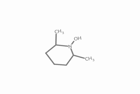 CC1CCCC(C)N1O